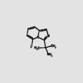 CC(C)(N)c1ncc2cccc(F)n12